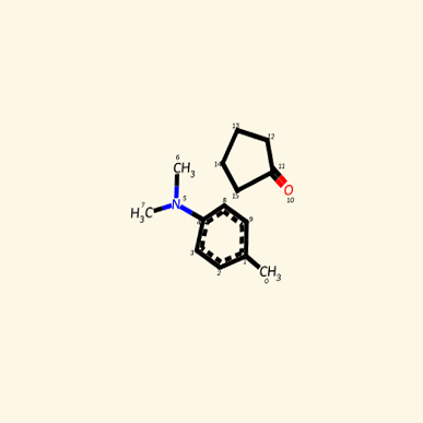 Cc1ccc(N(C)C)cc1.O=C1CCCC1